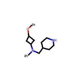 CC(C)OC1CC(N(CC2CCNCC2)C(C)C)C1